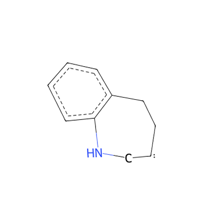 [C]1CCc2ccccc2NC1